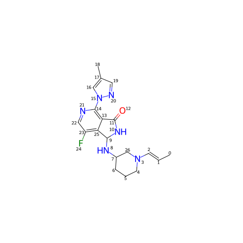 CC=CN1CCCC(NC2NC(=O)c3c(-n4cc(C)cn4)ncc(F)c32)C1